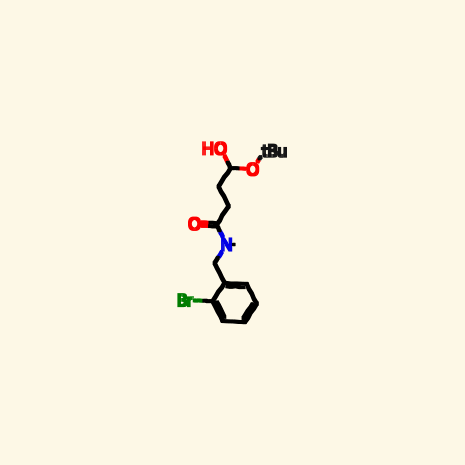 CC(C)(C)OC(O)CCC(=O)[N]Cc1ccccc1Br